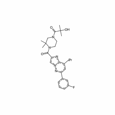 CC(C)c1cc(-c2cccc(F)c2)nn2cc(C(=O)N3CCN(C(=O)C(C)(C)O)CC3(C)C)nc12